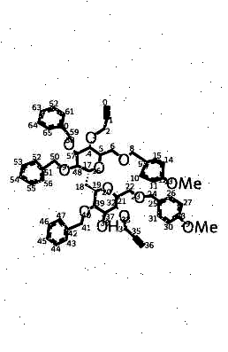 C#CCO[C@@H]1C(COCc2ccc(OC)cc2)O[C@H](C[C@H]2OC(COCc3ccc(OC)cc3)[C@H](OCC#C)C(O)C2OCc2ccccc2)C(OCc2ccccc2)C1OCc1ccccc1